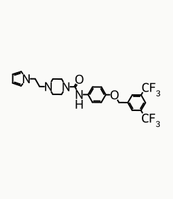 O=C(Nc1ccc(OCc2cc(C(F)(F)F)cc(C(F)(F)F)c2)cc1)N1CCN(CCn2cccc2)CC1